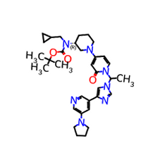 CC(n1cnc(-c2cncc(N3CCCC3)c2)c1)n1ccc(N2CCC[C@@H](N(CC3CC3)C(=O)OC(C)(C)C)C2)cc1=O